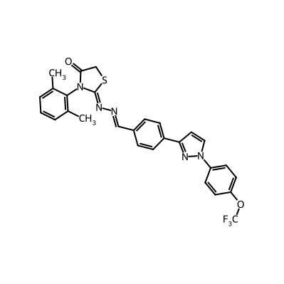 Cc1cccc(C)c1N1C(=O)CS/C1=N\N=C\c1ccc(-c2ccn(-c3ccc(OC(F)(F)F)cc3)n2)cc1